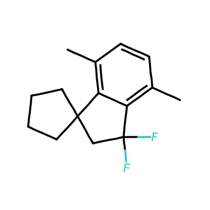 Cc1ccc(C)c2c1C(F)(F)CC21CCCC1